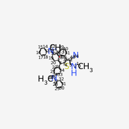 CCNc1sc(C(=C2C=CC(=[N+](C)c3ccccc3)C=C2)c2ccc(N(C)c3ccccc3)cc2)c(-c2ccccc2)c1C#N